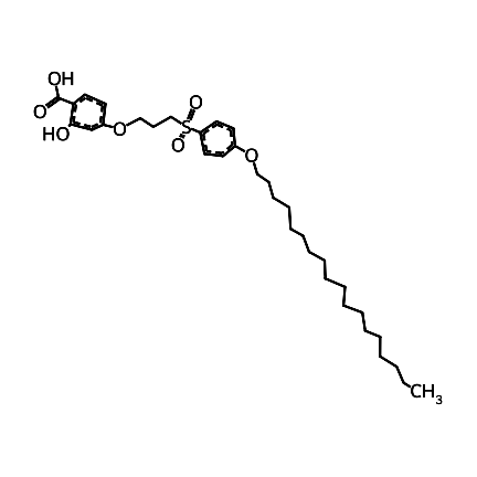 CCCCCCCCCCCCCCCCCCOc1ccc(S(=O)(=O)CCCOc2ccc(C(=O)O)c(O)c2)cc1